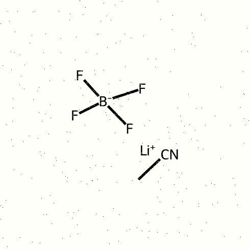 CC#N.F[B-](F)(F)F.[Li+]